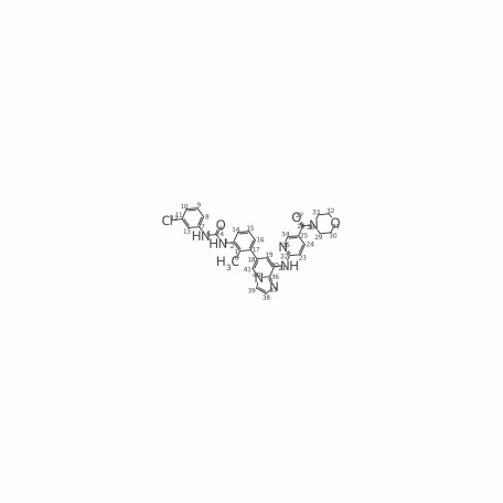 Cc1c(NC(=O)Nc2cccc(Cl)c2)cccc1-c1cc(Nc2ccc(C(=O)N3CCOCC3)cn2)c2nccn2c1